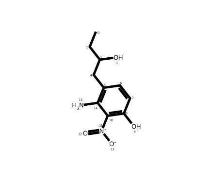 CCC(O)Cc1ccc(O)c([N+](=O)[O-])c1N